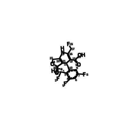 CC(F)c1c(F)cc(F)cc1[C@@H]1C(C(=O)O)=C(CF)NC2=C1C(=O)OC2